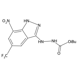 CC(C)COC(=O)NNc1n[nH]c2c([N+](=O)[O-])cc(C(F)(F)F)cc12